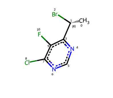 C[C@@H](Br)c1ncnc(Cl)c1F